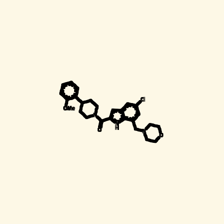 COc1ccccc1C1CCN(C(=O)c2cc3cc(Cl)cc(CN4CCOCC4)c3[nH]2)CC1